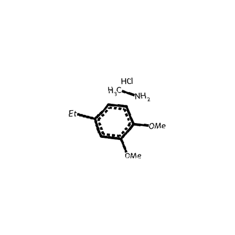 CCc1ccc(OC)c(OC)c1.CN.Cl